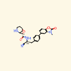 Cn1c(=O)oc2ccc(-c3ccc(C[C@@H](C#N)NC(=O)[C@H]4OC5CCNC4C5)cc3)cc21